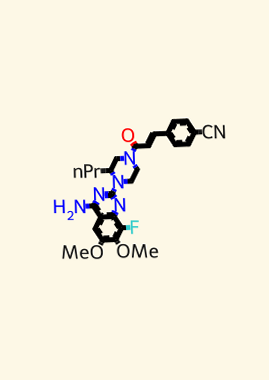 CCCC1CN(C(=O)/C=C/c2ccc(C#N)cc2)CCN1c1nc(N)c2cc(OC)c(OC)c(F)c2n1